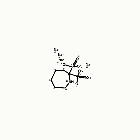 O=P([O-])([O-])C1(P(=O)([O-])[O-])CCCCCN1.[Na+].[Na+].[Na+].[Na+]